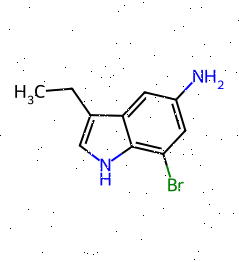 CCc1c[nH]c2c(Br)cc(N)cc12